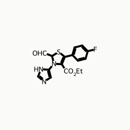 CCOC(=O)C1=C(c2ccc(F)cc2)SC(C=O)N1c1cnc[nH]1